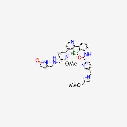 COCC1CN(Cc2ccc(C(=O)Nc3cccc(-c4nccc(-c5ccc(CNC[C@H]6CCC(=O)N6)c(OC)n5)c4Cl)c3C)nc2)C1